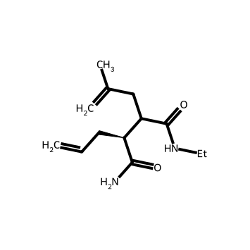 C=CC[C@H](C(N)=O)C(CC(=C)C)C(=O)NCC